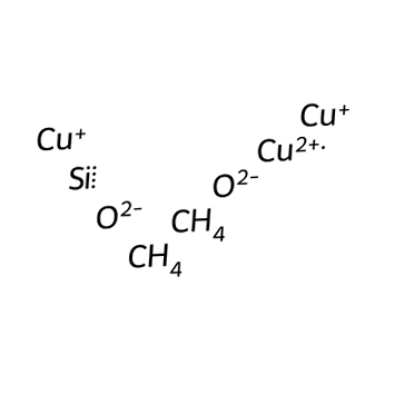 C.C.[Cu+2].[Cu+].[Cu+].[O-2].[O-2].[Si]